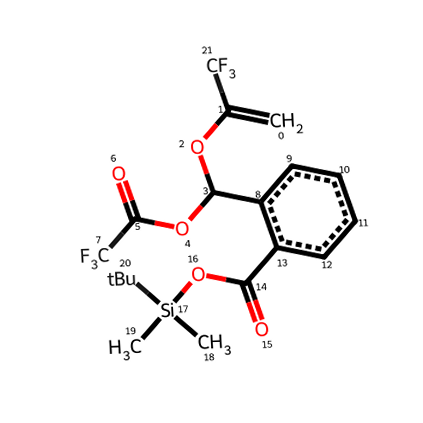 C=C(OC(OC(=O)C(F)(F)F)c1ccccc1C(=O)O[Si](C)(C)C(C)(C)C)C(F)(F)F